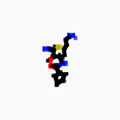 N=C(S)C(=O)[C@H](CCCCN)NC(=O)C1CCCC1